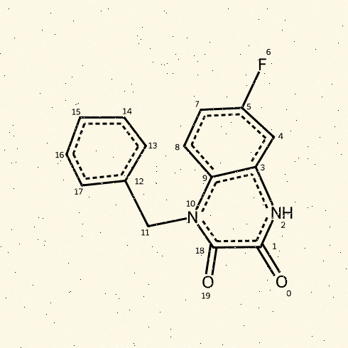 O=c1[nH]c2cc(F)ccc2n(Cc2ccccc2)c1=O